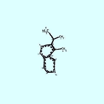 Cc1c(C(C)C)nnc2ccncc12